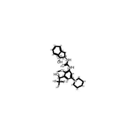 COc1c(NC(=O)N[C@@H]2Cc3ccccc3[C@H]2O)cc(N2CCCCC2)cc1C(O)C(F)(F)F